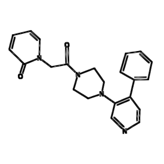 O=C(Cn1ccccc1=O)N1CCN(c2cnccc2-c2ccccc2)CC1